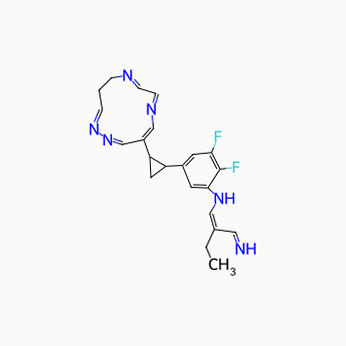 CC/C(C=N)=C/Nc1cc(C2CC2C2=C/N=C/C=N/CC/C=N/N=C\2)cc(F)c1F